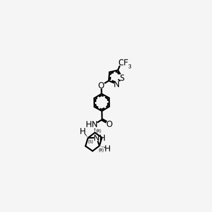 O=C(N[C@@H]1C[C@H]2CC[C@@H]1N2)c1ccc(Oc2cc(C(F)(F)F)sn2)cc1